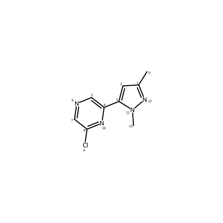 Cc1cc(-c2cncc(Cl)n2)n(C)n1